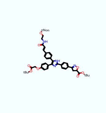 CCCCCCCCCOCCNC(=O)C=Cc1ccc(-c2[nH]c(-c3ccc(C4=NOC(C(=O)OC(C)(C)C)C4)cc3)nc2-c2ccc(OCC(=O)OC(C)(C)C)cc2)cc1